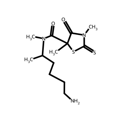 CC(CCCCN)N(C)C(=O)C1(C)SC(=S)N(C)C1=O